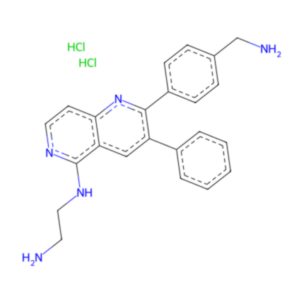 Cl.Cl.NCCNc1nccc2nc(-c3ccc(CN)cc3)c(-c3ccccc3)cc12